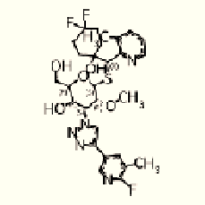 CO[C@@H]1[C@@H](n2cc(-c3cnc(F)c(C)c3)nn2)[C@@H](O)[C@@H](CO)O[C@H]1S[C@H](c1ncccc1C)C1(O)CCC(F)(F)CC1